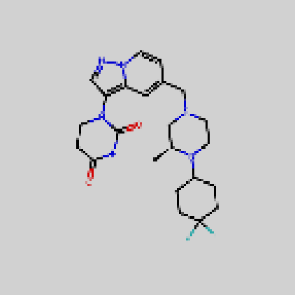 C[C@H]1CN(Cc2ccn3ncc(N4CCC(=O)NC4=O)c3c2)CCN1C1CCC(F)(F)CC1